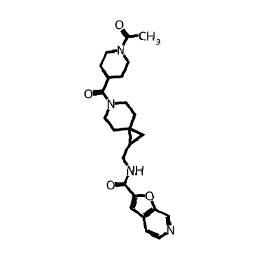 CC(=O)N1CCC(C(=O)N2CCC3(CC2)CC3CNC(=O)c2cc3ccncc3o2)CC1